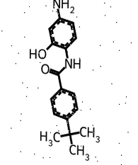 CC(C)(C)c1ccc(C(=O)Nc2ccc(N)cc2O)cc1